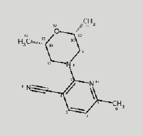 Cc1ccc(C#N)c(N2C[C@@H](C)O[C@@H](C)C2)n1